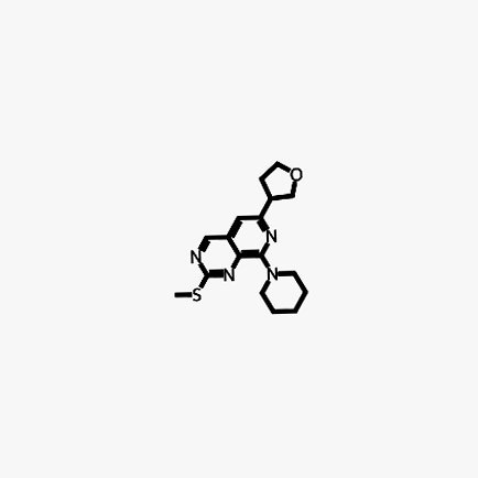 CSc1ncc2cc(C3CCOC3)nc(N3CCCCC3)c2n1